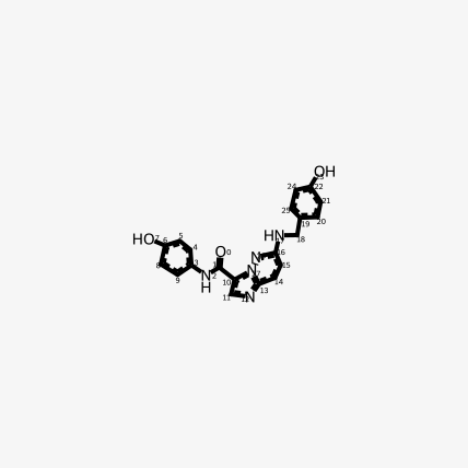 O=C(Nc1ccc(O)cc1)c1cnc2ccc(NCc3ccc(O)cc3)nn12